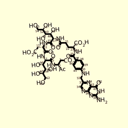 CC(=O)[C@H](CC(=O)O)NC(=O)[C@@H](NC(=O)[C@H](CC(=O)O)NC(=O)[C@@H](NC(=O)CC[C@H](NC(=O)c1ccc(NCc2cnc3nc(N)[nH]c(=O)c3n2)cc1)C(=O)O)[C@@H](O)[C@H](O)[C@H](O)CO)[C@@H](O)[C@H](O)[C@H](O)CO